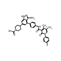 Cc1cn(-c2ccc(F)cc2)c(=O)c(C(=O)Nc2ccc(-c3cc(C4CCN(C(=O)C(C)C)CC4)cc4[nH]nc(N)c34)cc2)c1C